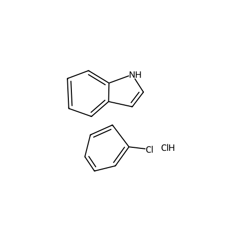 Cl.Clc1ccccc1.c1ccc2[nH]ccc2c1